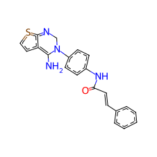 NC1=c2ccsc2=NCN1c1ccc(NC(=O)C=Cc2ccccc2)cc1